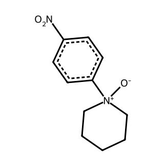 O=[N+]([O-])c1ccc([N+]2([O-])CCCCC2)cc1